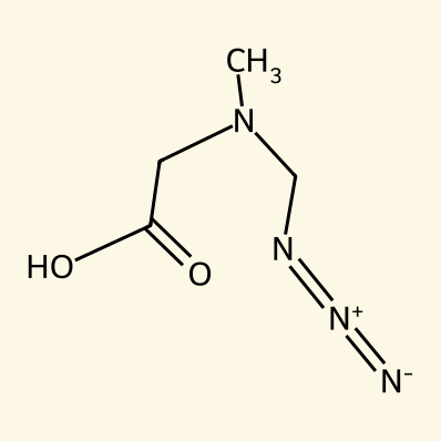 CN(CN=[N+]=[N-])CC(=O)O